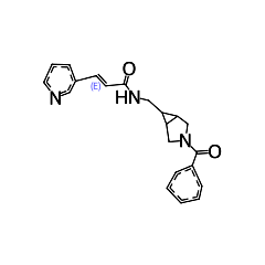 O=C(/C=C/c1cccnc1)NCC1C2CN(C(=O)c3ccccc3)CC12